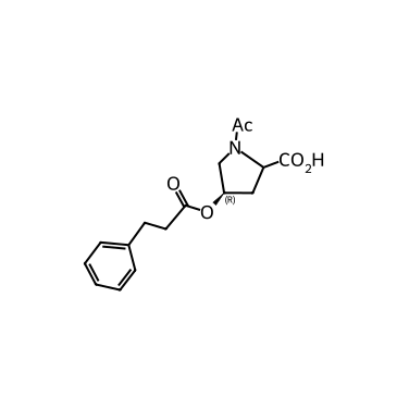 CC(=O)N1C[C@H](OC(=O)CCc2ccccc2)CC1C(=O)O